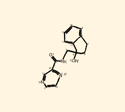 O=C(NCC1(O)CCc2ccccc21)c1cnccn1